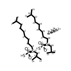 CC(C)CCCCCCCS(CC(C)C)=P([O-])([O-])[S-].CC(C)CCCCCCCS(CC(C)C)=P([O-])([O-])[S-].[Zn+2].[Zn+2].[Zn+2]